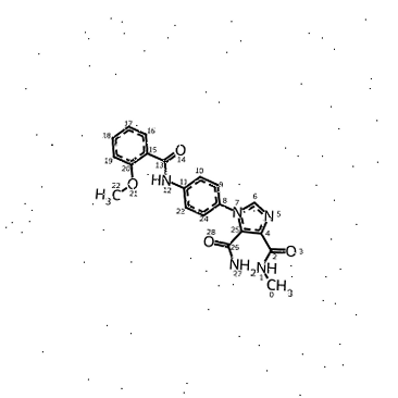 CNC(=O)c1ncn(-c2ccc(NC(=O)c3ccccc3OC)cc2)c1C(N)=O